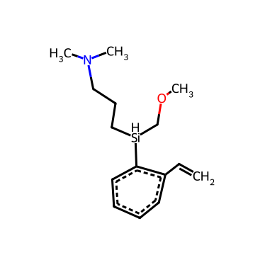 C=Cc1ccccc1[SiH](CCCN(C)C)COC